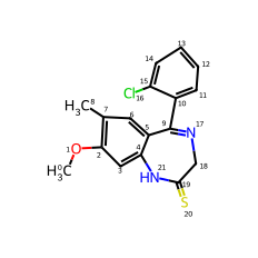 COc1cc2c(cc1C)C(c1ccccc1Cl)=NCC(=S)N2